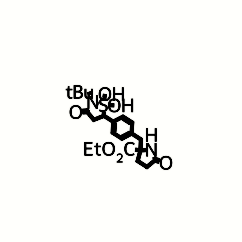 CCOC(=O)C1(Cc2ccc(C3CC(=O)N(C(C)(C)C)S3(O)O)cc2)CCC(=O)N1